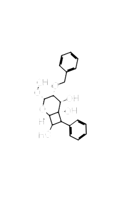 CO[C@H]1O[C@@H]2C(O)C(c3ccccc3)[C@]2(O)[C@H](O)[C@H]1OCc1ccccc1